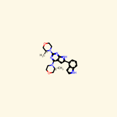 C[C@@H]1COCCN1c1nc(N2CCOC[C@@H]2C)nc2[nH]c(-c3cccc4[nH]ccc34)cc12